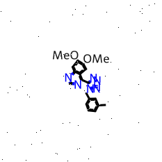 COc1cc2ncnc(-c3nnnn3Cc3cccc(C)c3)c2cc1OC